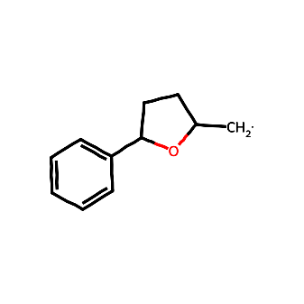 [CH2]C1CCC(c2ccccc2)O1